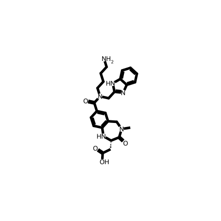 CN1Cc2cc(C(=O)N(CCCCN)Cc3nc4ccccc4[nH]3)ccc2N[C@@H](CC(=O)O)C1=O